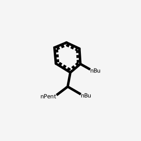 CCCCC[C](CCCC)c1ccccc1CCCC